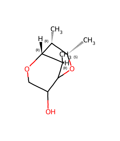 C[C@H]1[C@H]2OCC(O)C(O[C@H]1C)[C@@H]2C